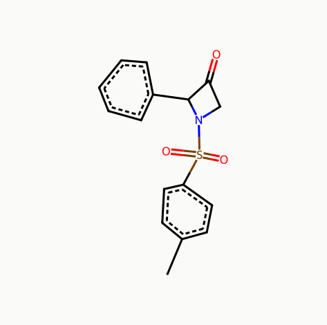 Cc1ccc(S(=O)(=O)N2CC(=O)C2c2ccccc2)cc1